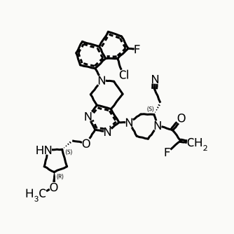 C=C(F)C(=O)N1CCN(c2nc(OC[C@@H]3C[C@@H](OC)CN3)nc3c2CCN(c2cccc4ccc(F)c(Cl)c24)C3)C[C@@H]1CC#N